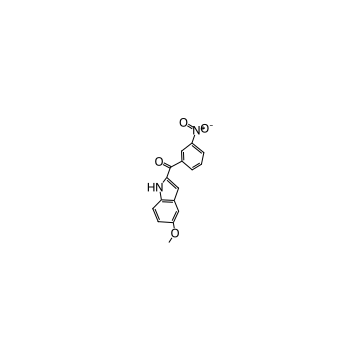 COc1ccc2[nH]c(C(=O)c3cccc([N+](=O)[O-])c3)cc2c1